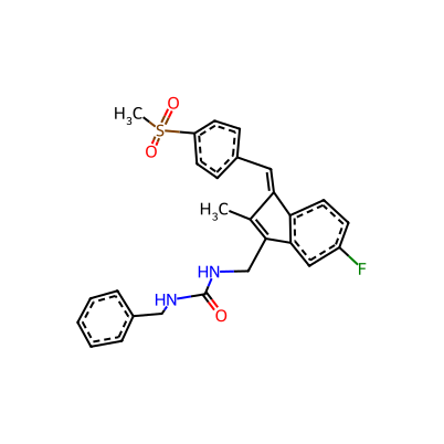 CC1=C(CNC(=O)NCc2ccccc2)c2cc(F)ccc2/C1=C/c1ccc(S(C)(=O)=O)cc1